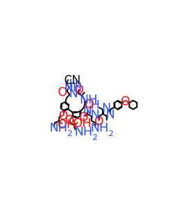 Cc1nc(-c2ccc(OC3CCCCC3)cc2)nc(C)c1C(=O)NC(CCN)C(=O)N(C)C1C(=O)NC(C)C(=O)NC(C(=O)NCC#N)Cc2ccc(OCC(O)CN)c(c2)-c2cc1ccc2OCC(O)CN